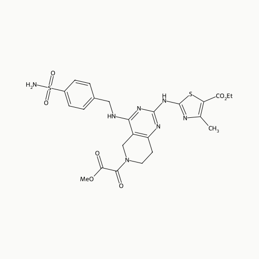 CCOC(=O)c1sc(Nc2nc3c(c(NCc4ccc(S(N)(=O)=O)cc4)n2)CN(C(=O)C(=O)OC)CC3)nc1C